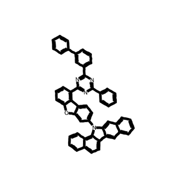 c1ccc(-c2cccc(-c3nc(-c4ccccc4)nc(-c4cccc5oc6cc(-n7c8cc9ccccc9cc8c8ccc9ccccc9c87)ccc6c45)n3)c2)cc1